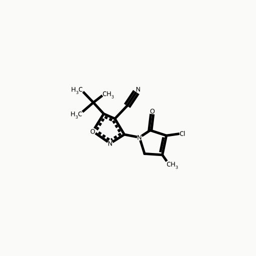 CC1=C(Cl)C(=O)N(c2noc(C(C)(C)C)c2C#N)C1